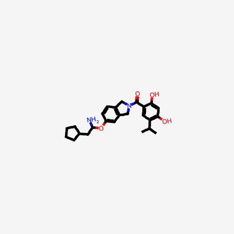 CC(C)c1cc(C(=O)N2Cc3ccc(OC(N)CC4CCCC4)cc3C2)c(O)cc1O